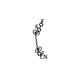 N#Cc1ccc(OC(=O)CCCCCCCCCC(=O)Oc2ccc(-c3ccc(F)cc3)c(F)c2)cc1F